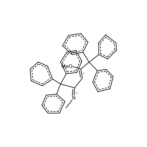 C/N=C(/C=C(\OC)C(c1ccccc1)(c1ccccc1)c1ccccc1)C(c1ccccc1)(c1ccccc1)c1ccccc1